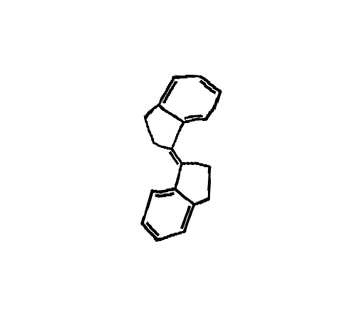 c1ccc2c(c1)CC/C2=C1/CCc2ccccc21